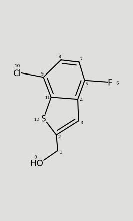 OCc1cc2c(F)ccc(Cl)c2s1